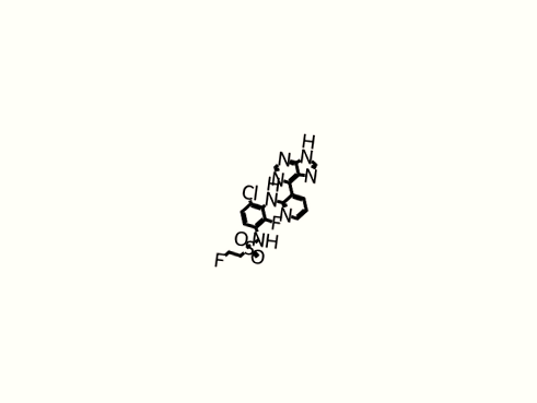 O=S(=O)(CCF)Nc1ccc(Cl)c(Nc2ncccc2-c2ncnc3[nH]cnc23)c1F